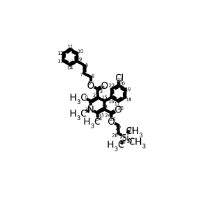 CC1=C(C(=O)OCC=Cc2ccccc2)C(c2cccc(Cl)c2)C(C(=O)OCC[Si](C)(C)C)=C(C)N1C